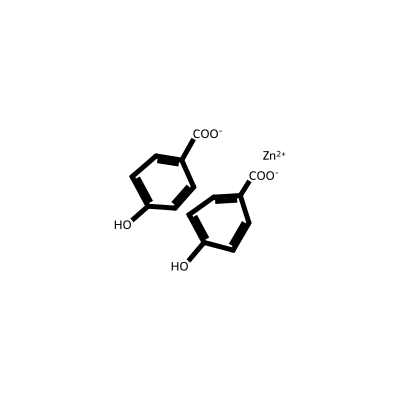 O=C([O-])c1ccc(O)cc1.O=C([O-])c1ccc(O)cc1.[Zn+2]